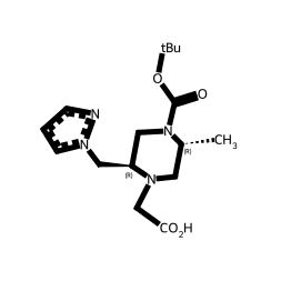 C[C@@H]1CN(CC(=O)O)[C@@H](Cn2cccn2)CN1C(=O)OC(C)(C)C